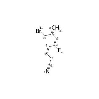 C=C(/C=C(F)\C=C/CC#N)CBr